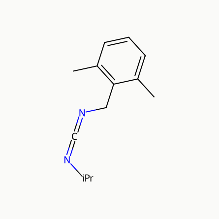 Cc1cccc(C)c1CN=C=NC(C)C